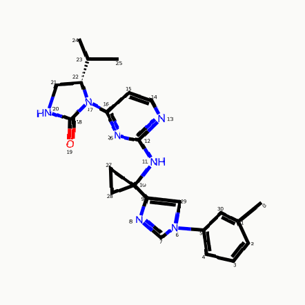 Cc1cccc(-n2cnc(C3(Nc4nccc(N5C(=O)NC[C@@H]5C(C)C)n4)CC3)c2)c1